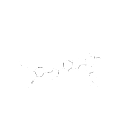 CCCOc1ccc(-c2nc(-c3cc(C)c4oc(C5(NC(=O)OC(C)(C)C)COC(C)(C)OC5)cc4c3)no2)cc1C#N